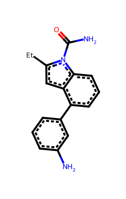 CCc1cc2c(-c3cccc(N)c3)cccc2n1C(N)=O